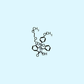 COCCOCOc1cccc(C(=O)NO)c1N(Cc1ccccc1)S(=O)(=O)c1ccc(OC)cc1